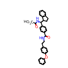 O=C(O)C(=O)NC(c1ccc(C(=O)NCCc2ccc(Oc3ccccc3)cc2)cc1)C1CCc2ccccc21